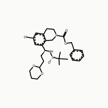 CC(C)(C)[S@+]([O-])N[C@@H](CCC1OCCCO1)c1cc(Cl)cc2c1CN(C(=O)OCc1ccccc1)CC2